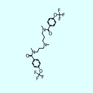 CN(CCCN(C)C(=O)c1ccc(OC(F)(F)F)cc1)CCCN(C)C(=O)c1ccc(OC(F)(F)F)cc1